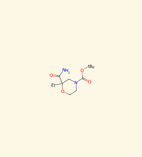 CCC1(C(N)=O)CN(C(=O)OC(C)(C)C)CCO1